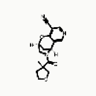 C[C@]1(C(=O)N2C[C@@H]3C[C@H]2c2cncc(C#N)c2O3)CCOC1